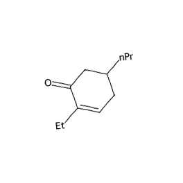 CCCC1CC=C(CC)C(=O)C1